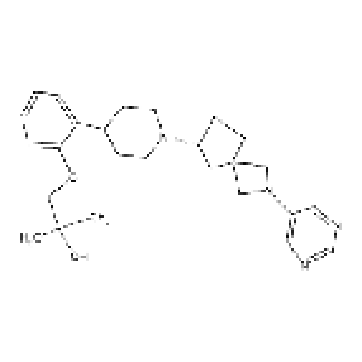 CC(C)(O)COc1ccccc1C1CCN([C@@H]2CCC3(C2)CN(c2cncnc2)C3)CC1